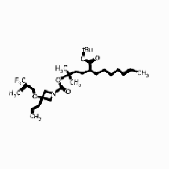 C=CCC1(OCC(=C)C(F)(F)F)CN(C(=O)OC(C)(C)CCC(CCCCC=CC)C(=O)OC(C)(C)C)C1